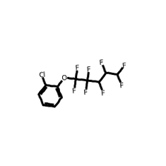 FC(F)C(F)C(F)C(F)(F)C(F)(F)Oc1ccccc1Cl